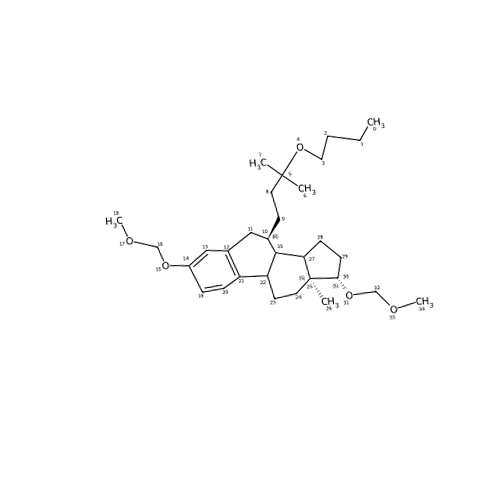 CCCCOC(C)(C)CC[C@@H]1Cc2cc(OCOC)ccc2C2CC[C@@]3(C)C(CC[C@@H]3OCOC)C21